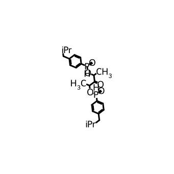 CC(C)Cc1ccc([PH](=O)OC(C)C(=O)C(C)O[PH](=O)c2ccc(CC(C)C)cc2)cc1